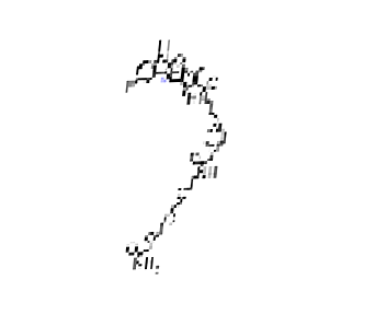 Cc1[nH]c(/C=C2\C(=O)Nc3ccc(F)cc32)c(C)c1C(=O)NCCCN1CCN(CC(=O)NCCOCCOCCOCC(N)=O)CC1